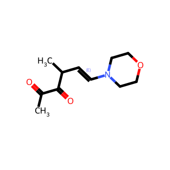 CC(=O)C(=O)C(C)/C=C/N1CCOCC1